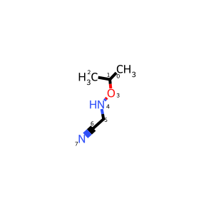 CC(C)ONCC#N